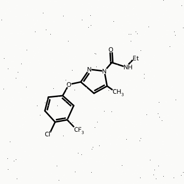 CCNC(=O)n1nc(Oc2ccc(Cl)c(C(F)(F)F)c2)cc1C